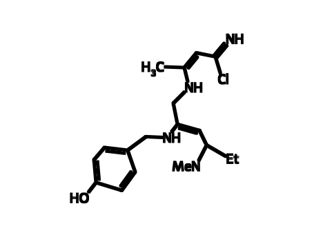 CCC(/C=C(/CN/C(C)=C\C(=N)Cl)NCc1ccc(O)cc1)NC